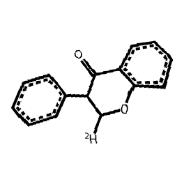 [2H]C1Oc2ccccc2C(=O)C1c1ccccc1